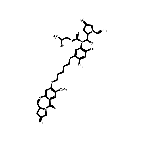 C=CN1CC(=C)CC1C(O)N(C(=O)OCC(C)S)c1cc(OCCCCCOc2cc3c(cc2OC)C(=O)N2CC(=C)CC2C=N3)c(C)cc1C